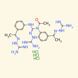 CC(=O)N(C(=NNC(=N)N)Nc1cccc(C(C)=NNC(=N)N)c1)c1cccc(C(C)=NNC(=N)N)c1.Cl.Cl.Cl